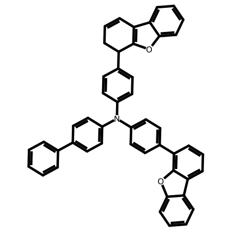 C1=Cc2c(oc3ccccc23)C(c2ccc(N(c3ccc(-c4ccccc4)cc3)c3ccc(-c4cccc5c4oc4ccccc45)cc3)cc2)C1